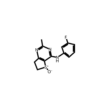 Cc1nc2c(c(Nc3cccc(F)c3)n1)[S+]([O-])CC2